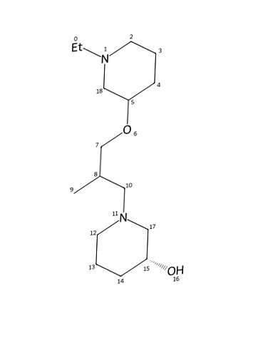 CCN1CCCC(OCC(C)CN2CCC[C@@H](O)C2)C1